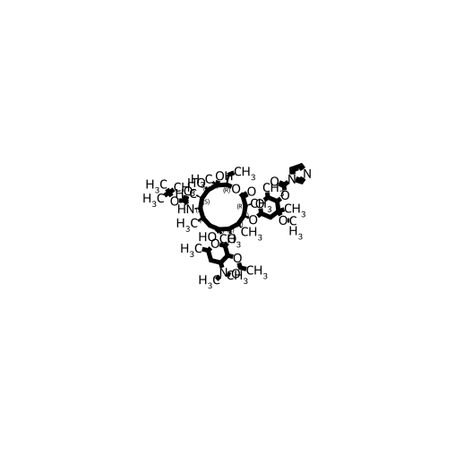 CC[C@H]1OC(=O)[C@H](C)[C@@H](OC2CC(C)(OC)C(OC(=O)n3ccnc3)C(C)O2)[C@H](C)[C@@H](OC2OC(C)CC(N(C)C)C2OC(C)=O)[C@](C)(O)C[C@@H](C)[C@H](NC(=O)OC(C)(C)C)[C@H](C)[C@@H](O)[C@]1(C)O